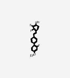 CCCc1ccc(/C=C/c2ccc(-c3ccc(OCC)cc3F)cc2)c(F)c1F